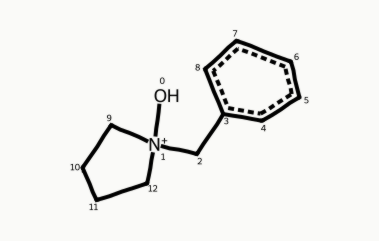 O[N+]1(Cc2ccccc2)C[CH]CC1